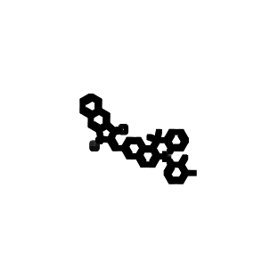 CC1C=CC=C(N2c3ccccc3C(C)(C)c3c2ccc2cc(C=C4C(=O)c5cc6ccccc6cc5C4=O)ccc32)C1C